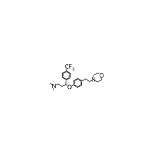 CN(C)CCC(Oc1ccc(CCN2CCOCC2)cc1)c1ccc(C(F)(F)F)cc1